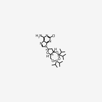 CC(C)[Si]1(C(C)C)OC[C@H]2O[C@@H](n3cnc4c(N)nc(Cl)nc43)C[C@@H]2O[Si](C(C)C)(C(C)C)O1